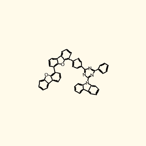 c1ccc(-c2nc(-c3ccc(-c4cccc5c4oc4c(-c6cccc7c6oc6ccccc67)cccc45)cc3)nc(-n3c4ccccc4c4ccccc43)n2)cc1